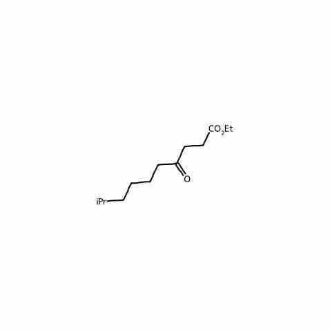 CCOC(=O)CCC(=O)CCCCC(C)C